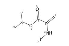 C=C(NI)C(=O)OC(C)C